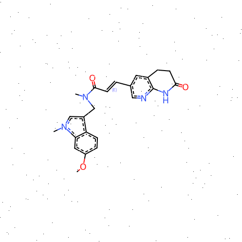 COc1ccc2c(CN(C)C(=O)/C=C/c3cnc4c(c3)CCC(=O)N4)cn(C)c2c1